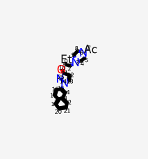 CCC(CN1CCN(C(C)=O)CC1)Oc1ccn(-c2ccc3ccccc3c2)n1